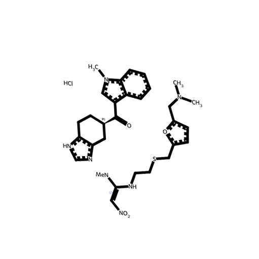 CN/C(=C/[N+](=O)[O-])NCCSCc1ccc(CN(C)C)o1.Cl.Cn1cc(C(=O)[C@@H]2CCc3[nH]cnc3C2)c2ccccc21